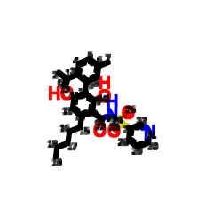 C=C(C)c1ccc(C)cc1-c1c(O)cc(CCCCC)c(C(=O)NS(=O)(=O)c2cccnc2)c1O